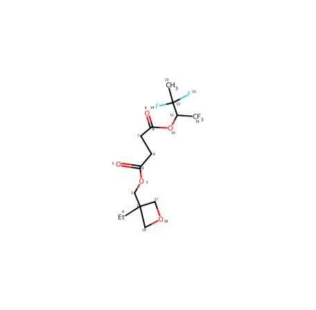 CCC1(COC(=O)CCC(=O)OC(C(C)(F)F)C(F)(F)F)COC1